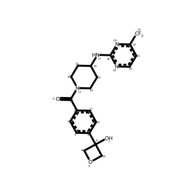 O=C(c1ccc(C2(O)COC2)cc1)N1CCC(Nc2nccc(C(F)(F)F)n2)CC1